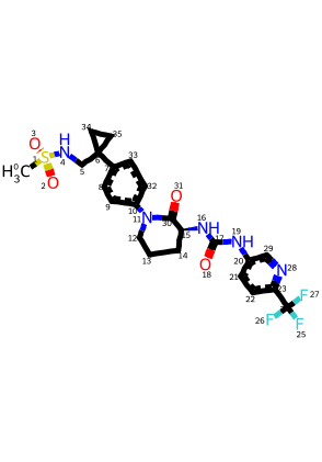 CS(=O)(=O)NCC1(c2ccc(N3CCC[C@H](NC(=O)Nc4ccc(C(F)(F)F)nc4)C3=O)cc2)CC1